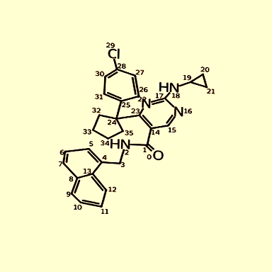 O=C(NCc1cccc2ccccc12)c1cnc(NC2CC2)nc1C1(c2ccc(Cl)cc2)CCCC1